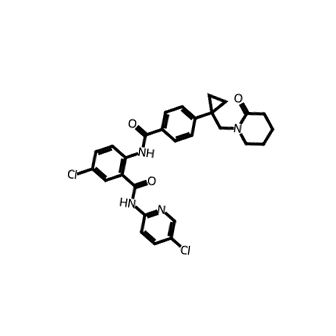 O=C(Nc1ccc(Cl)cc1C(=O)Nc1ccc(Cl)cn1)c1ccc(C2(CN3CCCCC3=O)CC2)cc1